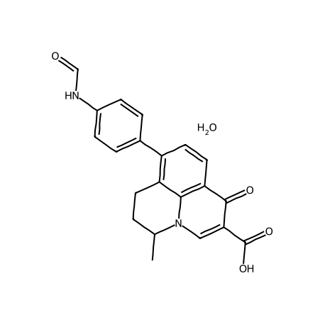 CC1CCc2c(-c3ccc(NC=O)cc3)ccc3c(=O)c(C(=O)O)cn1c23.O